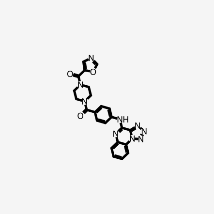 O=C(c1ccc(Nc2nc3ccccc3n3nnnc23)cc1)N1CCN(C(=O)c2cnco2)CC1